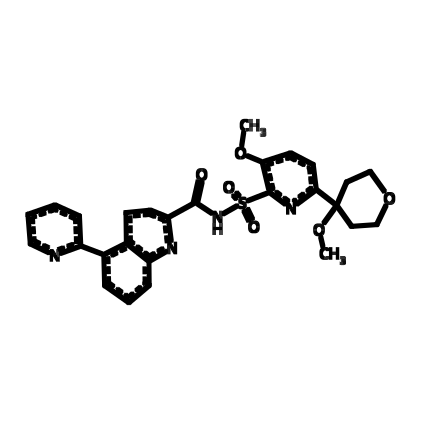 COc1ccc(C2(OC)CCOCC2)nc1S(=O)(=O)NC(=O)c1ccc2c(-c3ccccn3)cccc2n1